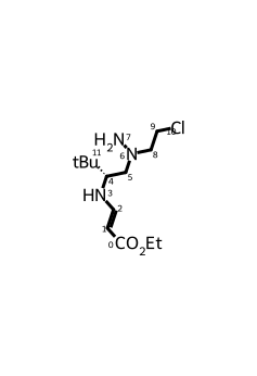 CCOC(=O)/C=C/N[C@@H](CN(N)CCCl)C(C)(C)C